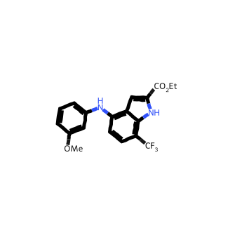 CCOC(=O)c1cc2c(Nc3cccc(OC)c3)ccc(C(F)(F)F)c2[nH]1